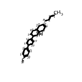 C/C=C/CC[C@@H]1CC[C@@H]2CC(c3ccc(-c4ccc(F)cc4)cc3)CCC2C1